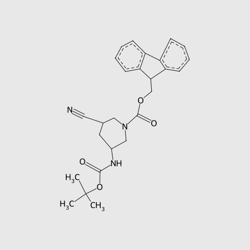 CC(C)(C)OC(=O)NC1CC(C#N)CN(C(=O)OCC2c3ccccc3-c3ccccc32)C1